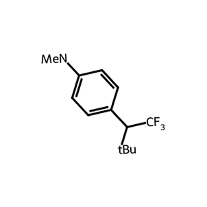 CNc1ccc(C(C(C)(C)C)C(F)(F)F)cc1